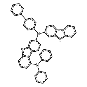 c1ccc(-c2ccc(N(c3ccc4c(c3)sc3ccccc34)c3ccc4c(c3)sc3cccc(N(c5ccccc5)c5ccccc5)c34)cc2)cc1